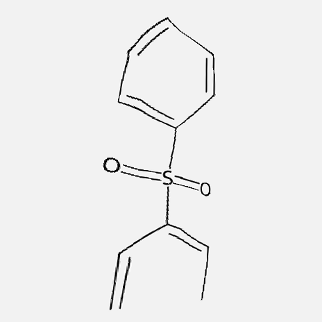 C=C/C(=C\C)S(=O)(=O)c1ccccc1